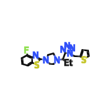 CCC(c1nnnn1Cc1cccs1)N1CCN(c2nc3c(F)cccc3s2)CC1